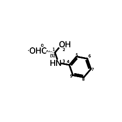 O=[C][C@H](O)Nc1ccccc1